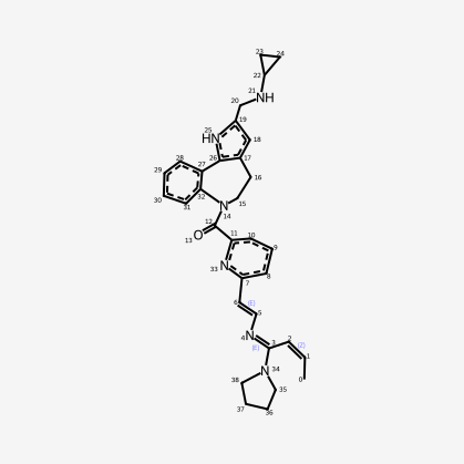 C\C=C/C(=N\C=C\c1cccc(C(=O)N2CCc3cc(CNC4CC4)[nH]c3-c3ccccc32)n1)N1CCCC1